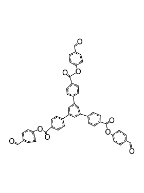 O=Cc1ccc(OC(=O)c2ccc(-c3cc(-c4ccc(C(=O)Oc5ccc(C=O)cc5)cc4)cc(-c4ccc(C(=O)Oc5ccc(C=O)cc5)cc4)c3)cc2)cc1